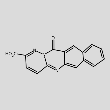 O=C(O)c1ccc2nc3cc4ccccc4cc3c(=O)n2n1